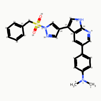 CN(C)c1ccc(-c2cnc3[nH]cc(-c4cnn(S(=O)(=O)Cc5ccccc5)c4)c3c2)cc1